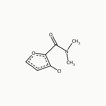 CN(C)C(=O)c1occc1Cl